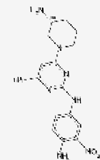 CCCc1cc(N2CCC[C@@H](N)C2)nc(Nc2ccc(N)c([N+](=O)[O-])c2)n1